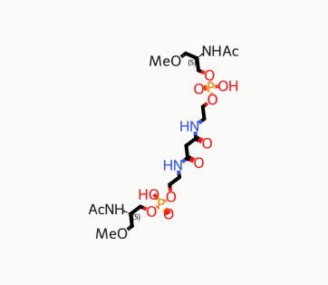 COC[C@@H](COP(=O)(O)OCCNC(=O)CC(=O)NCCOP(=O)(O)OC[C@H](COC)NC(C)=O)NC(C)=O